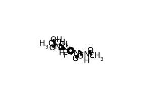 CC(=O)NC[C@H]1CN(c2ccc([C@H]3[C@@H]4CN(C(=O)C(C)(C)O)C[C@@H]43)c(F)c2)C(=O)O1